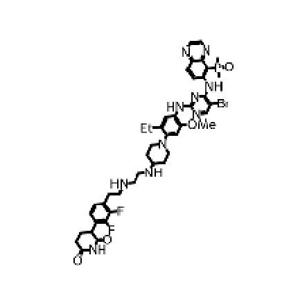 CCc1cc(Nc2ncc(Br)c(Nc3ccc4nccnc4c3P(C)(C)=O)n2)c(OC)cc1N1CCC(NCCNCCc2ccc(C3CCC(=O)NC3=O)c(F)c2F)CC1